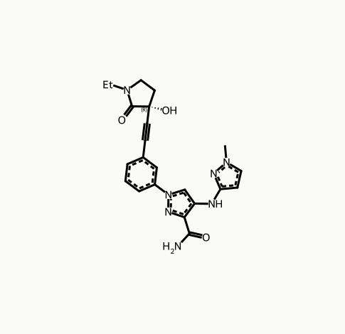 CCN1CC[C@@](O)(C#Cc2cccc(-n3cc(Nc4ccn(C)n4)c(C(N)=O)n3)c2)C1=O